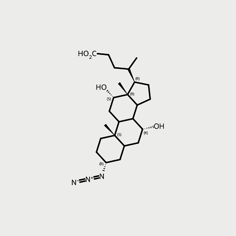 CC(CCC(=O)O)[C@H]1CCC2C3C(C[C@H](O)[C@@]21C)[C@@]1(C)CC[C@@H](N=[N+]=[N-])CC1C[C@H]3O